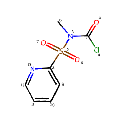 CN(C(=O)Cl)S(=O)(=O)c1ccccn1